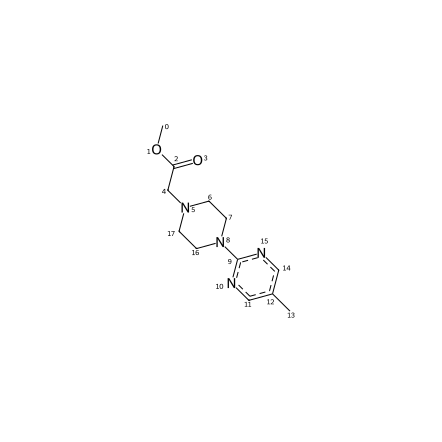 COC(=O)CN1CCN(c2ncc(C)cn2)CC1